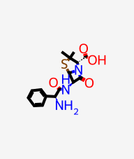 CC1(C)SC2[C@H](NC(=O)[C@H](N)c3ccccc3)C(=O)N2[C@H]1C(=O)O